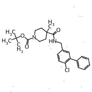 CC(C)(C)OC(=O)N1CCC(C)(C(=O)NCc2ccc(Cl)c(-c3ccccc3)c2)CC1